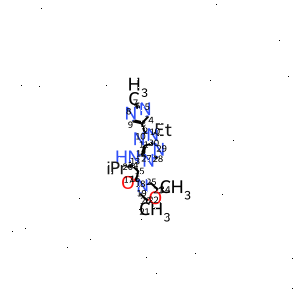 CCn1c(-c2cnc(C)nc2)nc2c(NC(CC(=O)N3C[C@@H](C)O[C@@H](C)C3)C(C)C)ncnc21